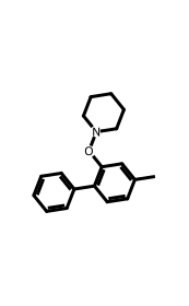 Cc1ccc(-c2ccccc2)c(ON2CCCCC2)c1